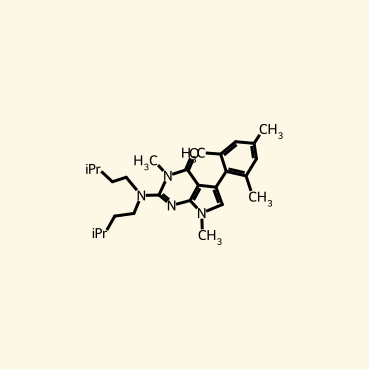 Cc1cc(C)c(-c2cn(C)c3nc(N(CCC(C)C)CCC(C)C)n(C)c(=O)c23)c(C)c1